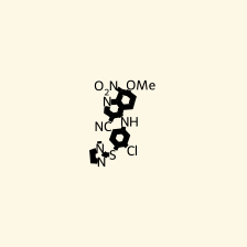 COc1ccc2c(Nc3ccc(Sc4nccn4C)c(Cl)c3)c(C#N)cnc2c1[N+](=O)[O-]